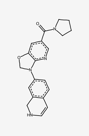 O=C(c1cnc2c(c1)OCN2c1ccc2c(c1)CNC=C2)N1CCCC1